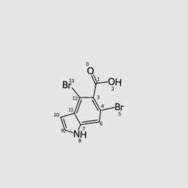 O=C(O)c1c(Br)cc2[nH][c]cc2c1Br